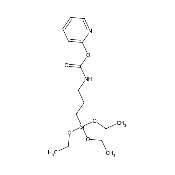 CCO[Si](CCCNC(=O)Oc1ccccn1)(OCC)OCC